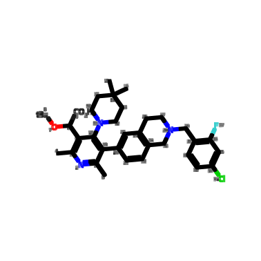 Cc1nc(C)c(C(OC(C)(C)C)C(=O)O)c(N2CCC(C)(C)CC2)c1-c1ccc2c(c1)CCN(Cc1ccc(Cl)cc1F)C2